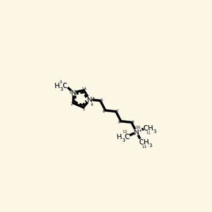 Cn1cc[n+](CCCCC[N+](C)(C)C)c1